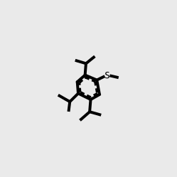 CSc1cc(C(C)C)c(C(C)C)cc1C(C)C